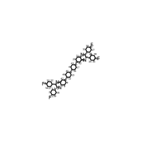 Fc1ccc(-c2nc3ccc(-c4ccc(-c5ccc(-c6ccc7nc(-c8ccc(F)cc8)c(-c8ccc(F)cc8)nc7c6)cc5)cc4)cc3nc2-c2ccc(F)cc2)cc1